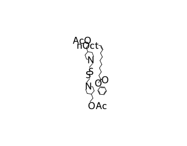 CC(=O)OCCC1CCN(CCSSCCN2CCC(CCOC(C)=O)CC2)CC1.CCCCCCCC/C=C\CCCCCCCC(=O)Oc1ccccc1